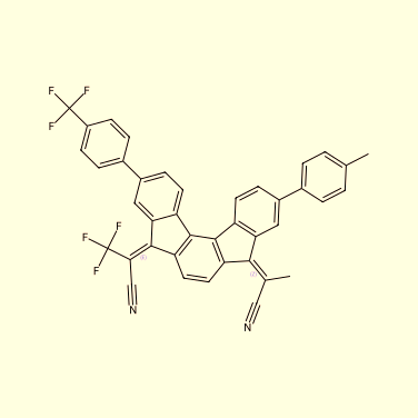 C/C(C#N)=C1\c2cc(-c3ccc(C)cc3)ccc2-c2c1ccc1c2-c2ccc(-c3ccc(C(F)(F)F)cc3)cc2/C1=C(/C#N)C(F)(F)F